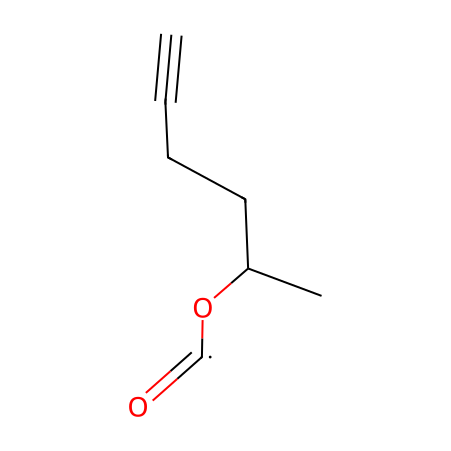 C#CCCC(C)O[C]=O